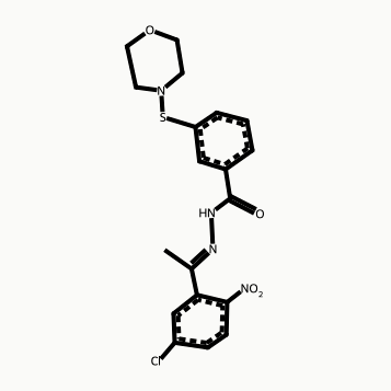 C/C(=N\NC(=O)c1cccc(SN2CCOCC2)c1)c1cc(Cl)ccc1[N+](=O)[O-]